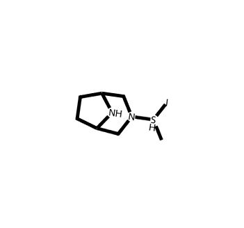 C[SH](I)N1CC2CCC(C1)N2